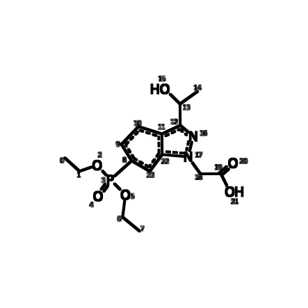 CCOP(=O)(OCC)c1ccc2c(C(C)O)nn(CC(=O)O)c2c1